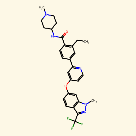 CCc1cc(-c2cc(Oc3ccc4c(C(F)(F)F)nn(C)c4c3)ccn2)ccc1C(=O)NC1CCN(C)CC1